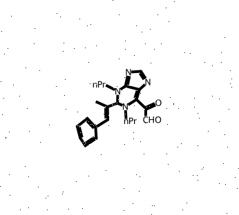 CCCN1C2=NC=NC2=C(C(=O)C=O)N(CCC)C1C(C)=Cc1ccccc1